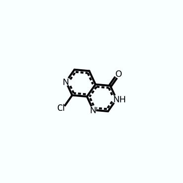 O=c1[nH]cnc2c(Cl)nccc12